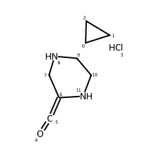 C1CC1.Cl.O=C=C1CNCCN1